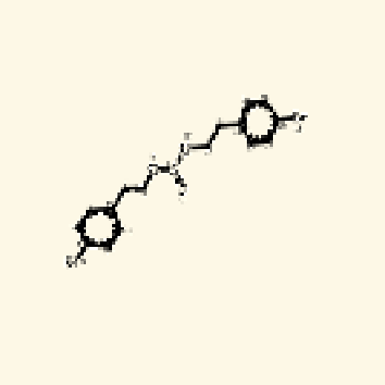 O=S(OCCc1ccc(Br)cc1)OCCc1ccc(Br)cc1